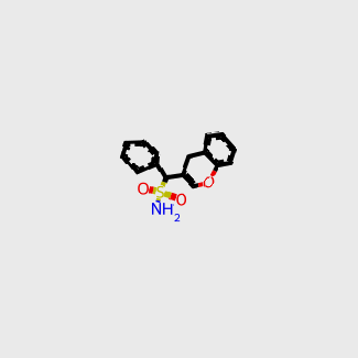 NS(=O)(=O)C(C1=COc2ccccc2C1)c1ccccc1